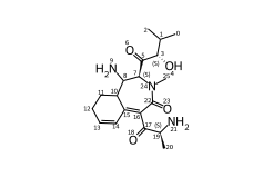 CC(C)[C@H](O)C(=O)[C@@H]1C(N)C2CCC=CC2=C(C(=O)[C@H](C)N)C(=O)N1C